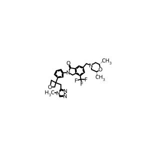 C[C@@H]1CN(Cc2cc3c(c(C(F)(F)F)c2)CN(c2cccc(C4(Cc5nncn5C)COC4)c2)C3=O)C[C@H](C)O1